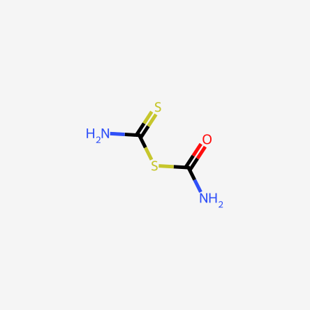 NC(=O)SC(N)=S